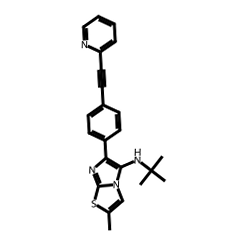 Cc1cn2c(NC(C)(C)C)c(-c3ccc(C#Cc4ccccn4)cc3)nc2s1